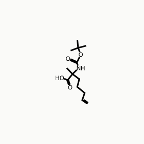 C=CCCCC(C)(NC(=O)OC(C)(C)C)C(=O)O